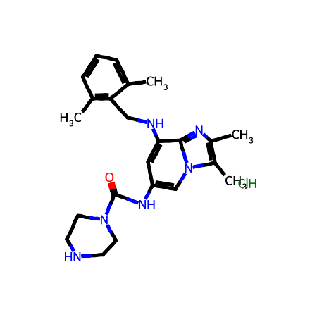 Cc1cccc(C)c1CNc1cc(NC(=O)N2CCNCC2)cn2c(C)c(C)nc12.Cl